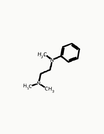 CN(C)CCN(C)c1ccccc1